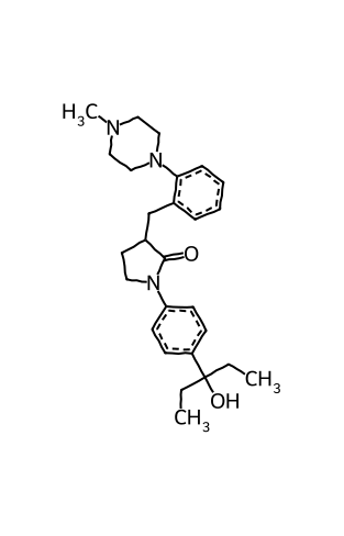 CCC(O)(CC)c1ccc(N2CCC(Cc3ccccc3N3CCN(C)CC3)C2=O)cc1